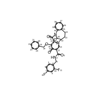 O=C(NCc1ccc(F)cc1F)c1cn2c(c(OCc3ccccc3)c1=O)C(=O)N1C(=O)C2CCc2ccccc21